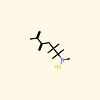 C=C(C)C(=C)CC(C)(C)C(C)(C)N(C)S